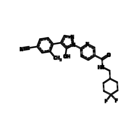 Cc1cc(C#N)ccc1-c1cnn(-c2ccc(C(=O)NCC3CCC(F)(F)CC3)cn2)c1O